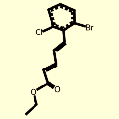 CCOC(=O)/C=C/C=C/c1c(Cl)cccc1Br